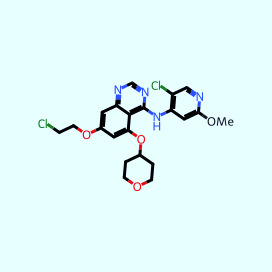 COc1cc(Nc2ncnc3cc(OCCCl)cc(OC4CCOCC4)c23)c(Cl)cn1